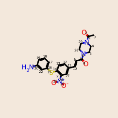 CC(=O)N1CCN(C(=O)C=Cc2ccc(Sc3cccc(N)c3)c([N+](=O)[O-])c2)CC1